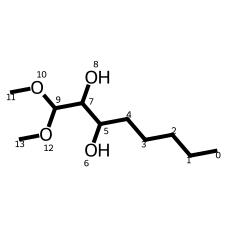 CCCCCC(O)C(O)C(OC)OC